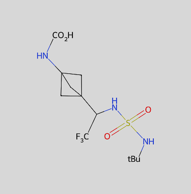 CC(C)(C)NS(=O)(=O)NC(C(F)(F)F)C12CC(NC(=O)O)(C1)C2